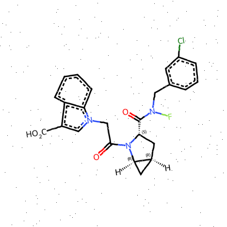 O=C(O)c1cn(CC(=O)N2[C@@H]3C[C@@H]3C[C@H]2C(=O)N(F)Cc2cccc(Cl)c2)c2ccccc12